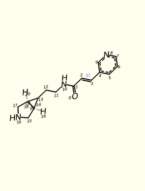 O=C(/C=C/c1cccnc1)NCCC1[C@H]2CNC[C@@H]12